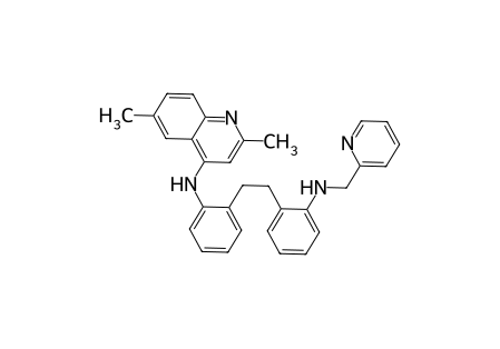 Cc1ccc2nc(C)cc(Nc3ccccc3CCc3ccccc3NCc3ccccn3)c2c1